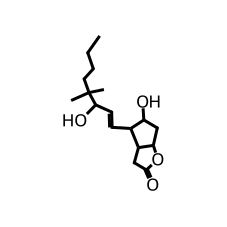 CCCCC(C)(C)C(O)/C=C/C1C(O)CC2OC(=O)CC21